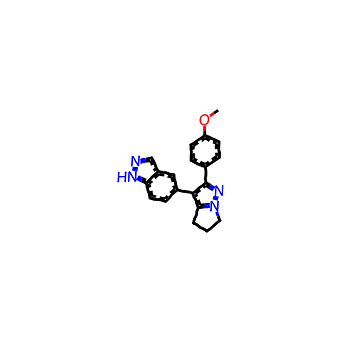 COc1ccc(-c2nn3c(c2-c2ccc4[nH]ncc4c2)CCC3)cc1